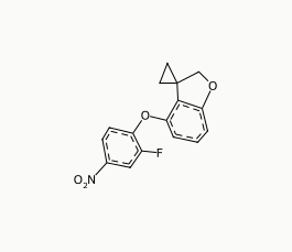 O=[N+]([O-])c1ccc(Oc2cccc3c2C2(CC2)CO3)c(F)c1